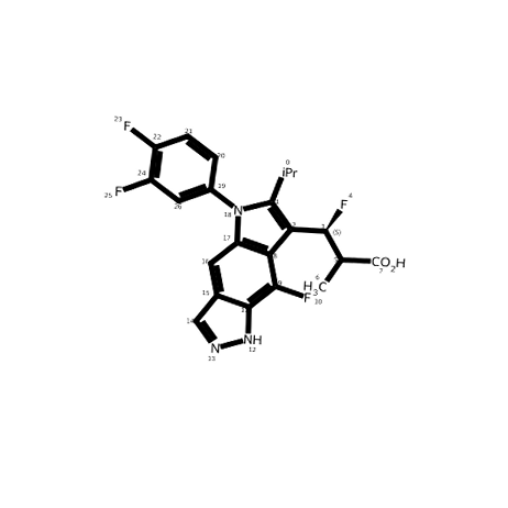 CC(C)c1c([C@@H](F)C(C)C(=O)O)c2c(F)c3[nH]ncc3cc2n1-c1ccc(F)c(F)c1